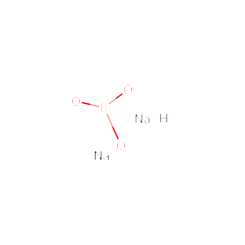 [H+].[Na+].[Na+].[O-]B([O-])[O-]